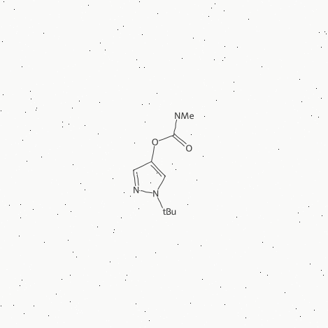 CNC(=O)Oc1cnn(C(C)(C)C)c1